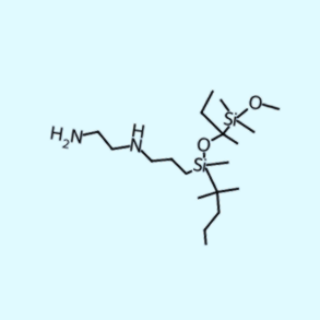 CCCC(C)(C)[Si](C)(CCCNCCN)OC(C)(CC)[Si](C)(C)OC